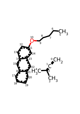 C=C=C(C)C.CCCCCOc1ccc2cc3ccccc3cc2c1